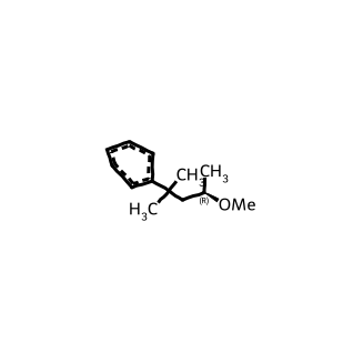 CO[C@H](C)CC(C)(C)c1ccccc1